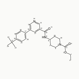 CCOC(=O)N1CCC(NC(=O)c2cncc(-c3ccc(C(C)(C)C)cc3)c2)CC1